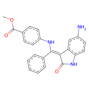 COC(=O)c1ccc(NC(=C2C(=O)Nc3ccc(N)cc32)c2ccccc2)cc1